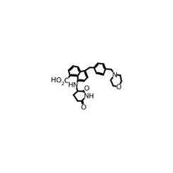 O=C1CCC(Nc2ccc(Cc3ccc(CN4CCOCC4)cc3)c3cccc(C(=O)O)c23)C(=O)N1